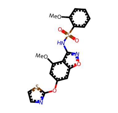 COc1ccccc1S(=O)(=O)Nc1noc2cc(Oc3nccs3)cc(OC)c12